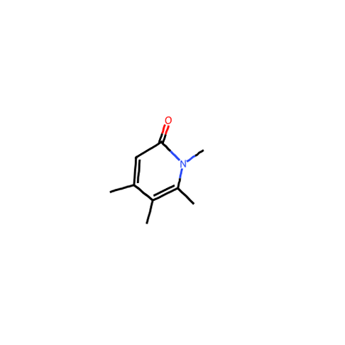 Cc1cc(=O)n(C)c(C)c1C